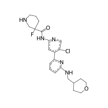 O=C(Nc1cc(-c2cccc(NCC3CCOCC3)n2)c(Cl)cn1)C1(F)CCCNC1